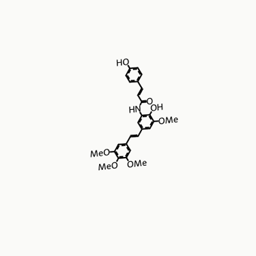 COc1cc(/C=C/c2cc(OC)c(OC)c(OC)c2)cc(NC(=O)/C=C/c2ccc(O)cc2)c1O